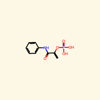 C=C(OP(=O)(O)O)C(=O)Nc1ccccc1